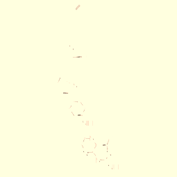 C#CCCCCNC(=O)CC[C@H](NC(=O)c1ccc(NCc2cnc3nc(N)[nH]c(=O)c3n2)cc1)C(=O)O